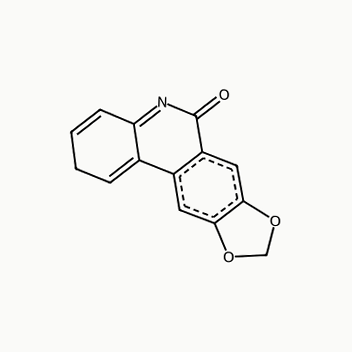 O=C1N=C2C=CCC=C2c2cc3c(cc21)OCO3